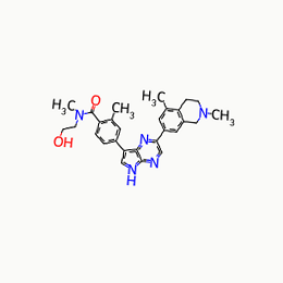 Cc1cc(-c2c[nH]c3ncc(-c4cc(C)c5c(c4)CN(C)CC5)nc23)ccc1C(=O)N(C)CCO